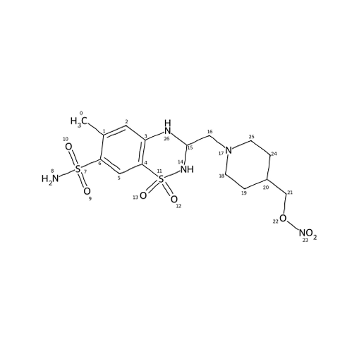 Cc1cc2c(cc1S(N)(=O)=O)S(=O)(=O)NC(CN1CCC(CO[N+](=O)[O-])CC1)N2